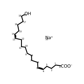 O=C([O-])CCC/C=C\CCCCCCC/C=C\CCCCO.[Na+]